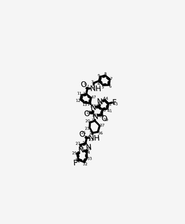 O=C(NCc1ccccc1)c1cccc(-n2c(=O)n(C3CCC(NC(=O)c4cn5cc(F)ccc5n4)CC3)c(=O)c3cc(F)cnc32)c1